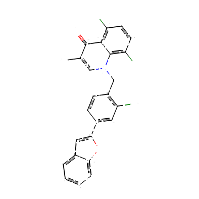 CC(=O)c1cn(Cc2ccc(-c3cc4ccccc4o3)cc2F)c2c(F)ccc(F)c2c1=O